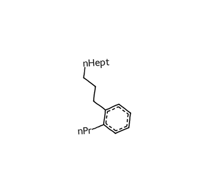 CCCCCCCCCCc1ccccc1CCC